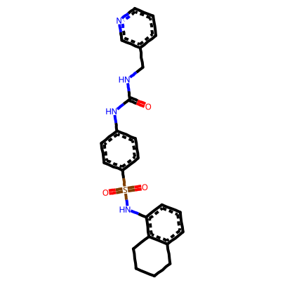 O=C(NCc1cccnc1)Nc1ccc(S(=O)(=O)Nc2cccc3c2CCCC3)cc1